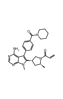 C=CC(=O)N1C[C@H](c2c(-c3ccc(C(=O)N4CCCCC4)cc3)c3c(N)ncnc3n2C)C[C@@H]1C